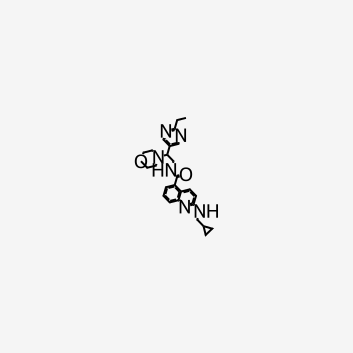 CCc1ncc(C(CNC(=O)c2cccc3nc(NCC4CC4)ccc23)N2CCOCC2)cn1